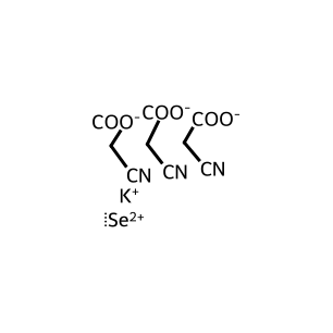 N#CCC(=O)[O-].N#CCC(=O)[O-].N#CCC(=O)[O-].[K+].[Se+2]